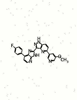 COc1cncc(-c2ccc3[nH]nc(-c4nc5c(-c6ccc(F)cc6)ccnc5[nH]4)c3n2)c1